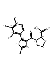 Cc1nc(C(=O)N2CCSC2C(N)=O)c(-c2ccc(C)c(F)c2F)s1